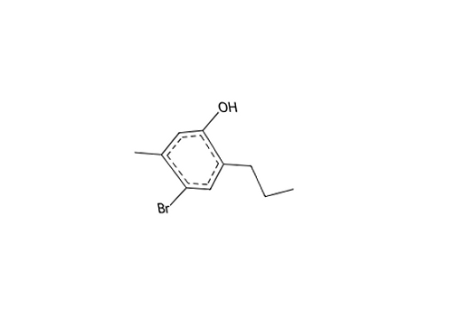 CCCc1cc(Br)c(C)cc1O